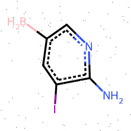 Bc1cnc(N)c(I)c1